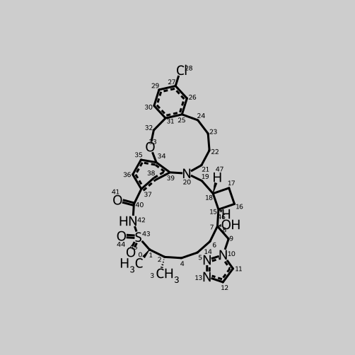 C[C@@H]1[C@@H](C)CCC[C@](O)(Cn2ccnn2)[C@@H]2CC[C@H]2CN2CCCCc3cc(Cl)ccc3COc3ccc(cc32)C(=O)NS1(=O)=O